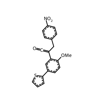 COc1ccc(-c2cccs2)cc1C(=C=O)Cc1ccc([N+](=O)[O-])cc1